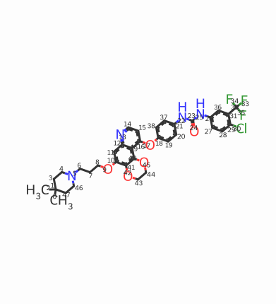 CC1(C)CCN(CCCOc2cc3nccc(Oc4ccc(NC(=O)Nc5ccc(Cl)c(C(F)(F)F)c5)cc4)c3c3c2OCCO3)CC1